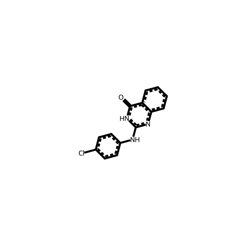 O=c1[nH]c(Nc2ccc(Cl)cc2)nc2ccccc12